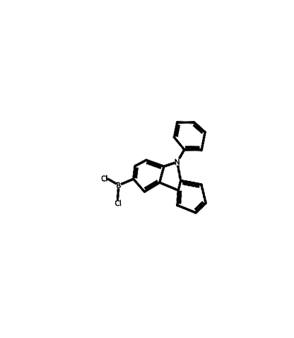 ClB(Cl)c1ccc2c(c1)c1ccccc1n2-c1ccccc1